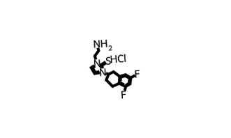 Cl.NCCn1ccn(C2CCc3c(F)cc(F)cc3C2)c1=S